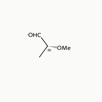 CO[C@H](C)[C]=O